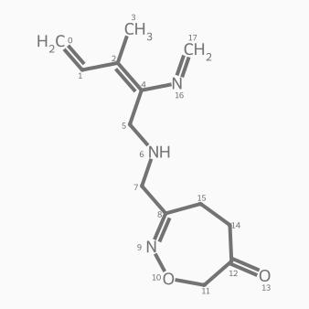 C=C/C(C)=C(\CNCC1=NOCC(=O)CC1)N=C